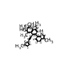 Cc1ccc(C#Cc2c(-c3cccc4c(C)c[nH]c34)cc(C)c3c2[C@@H](C)[C@H](O)C(C)(C)N3)s1